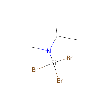 CC(C)N(C)[Si](Br)(Br)Br